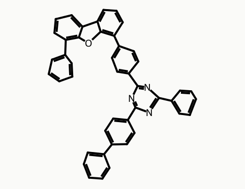 c1ccc(-c2ccc(-c3nc(-c4ccccc4)nc(-c4ccc(-c5cccc6c5oc5c(-c7ccccc7)cccc56)cc4)n3)cc2)cc1